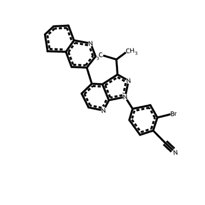 CC(C)c1nn(-c2ccc(C#N)c(Br)c2)c2nccc(-c3cnc4ccccc4c3)c12